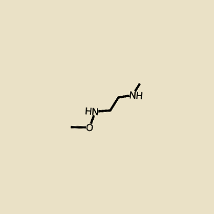 CNCCNOC